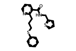 O=C(NCc1cccs1)c1cccnc1CCCSc1ccccc1